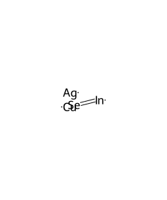 [Ag].[Cu].[Se]=[In]